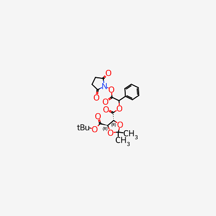 CC(C)(C)OC(=O)[C@@H]1OC(C)(C)O[C@H]1C(=O)OC(C(=O)ON1C(=O)CCC1=O)c1ccccc1